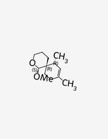 CO[C@H]1OCCC[C@@]12CCC(C)=C[C@H]2C